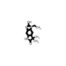 CCn1c(O)nc2cc3c(cc21)C(C)(C)C(=O)N3